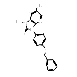 CCn1c(=O)n(-c2ccc(OCc3ccccc3)cc2)c2ncc(C#N)cc21